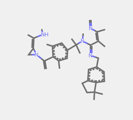 C=N/C(C)=C(C)\C(=N/Cc1ccc2c(c1)CCC2(C)C)N(C)C(C)(C)c1cc(C)c(C(=C)N2C/C2=C(\C)NC)c(C)c1